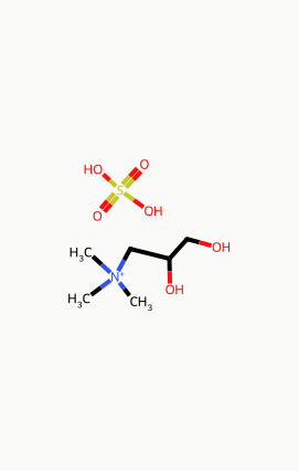 C[N+](C)(C)CC(O)CO.O=S(=O)(O)O